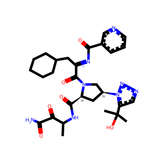 CC(NC(=O)[C@@H]1C[C@H](n2nncc2C(C)(C)O)CN1C(=O)/C(CC1CCCCC1)=N/C(=O)c1cccnc1)C(=O)C(N)=O